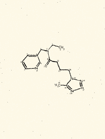 CCN(Cc1cccnc1)C(=O)CCCn1nnnc1C